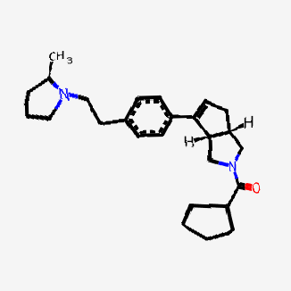 C[C@@H]1CCCN1CCc1ccc(C2=CC[C@@H]3CN(C(=O)C4CCCC4)C[C@H]23)cc1